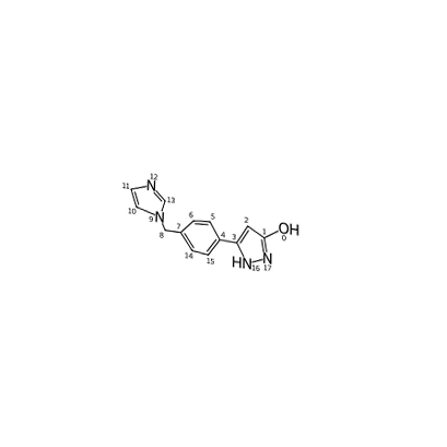 Oc1cc(-c2ccc(Cn3ccnc3)cc2)[nH]n1